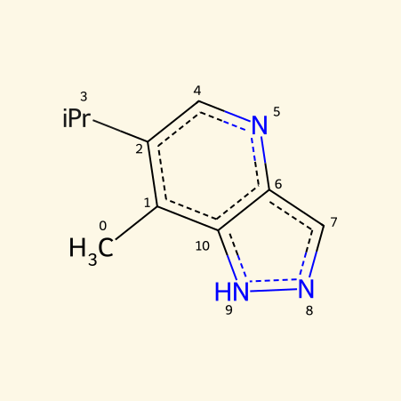 Cc1c(C(C)C)cnc2cn[nH]c12